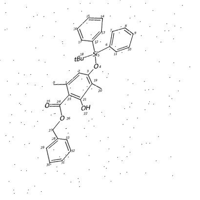 Cc1cc(O[Si](c2ccccc2)(c2ccccc2)C(C)(C)C)c(C)c(O)c1C(=O)OCc1ccccc1